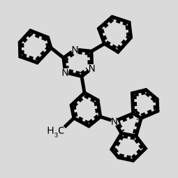 Cc1cc(-c2nc(-c3ccccc3)nc(-c3ccccc3)n2)cc(-n2c3ccccc3c3ccccc32)c1